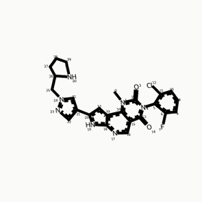 Cn1c(=O)n(-c2c(F)cccc2Cl)c(=O)c2cnc3[nH]c(-c4cnn(CC5CCCN5)c4)cc3c21